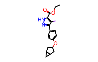 CCOC(=O)c1[nH]nc(-c2ccc(OC3CC4CC4C3)cc2)c1I